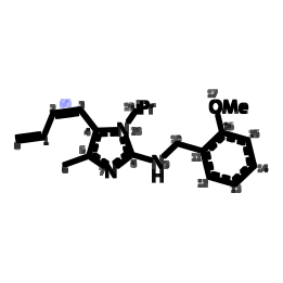 C=C/C=C\c1c(C)nc(NCc2ccccc2OC)n1C(C)C